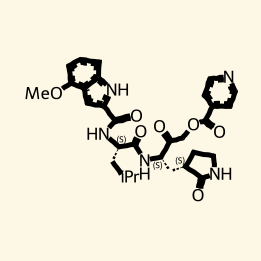 COc1cccc2[nH]c(C(=O)N[C@@H](CC(C)C)C(=O)N[C@@H](C[C@@H]3CCNC3=O)C(=O)COC(=O)c3ccncc3)cc12